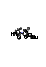 CC1CNC(=O)/C1=C/CN(C)C(=O)OC(C)(C)C